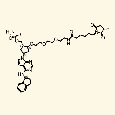 CC1CC(=O)N(CCCCCC(=O)NCCOCCOCCO[C@H]2C[C@H](n3ccc4c(N[C@H]5CCc6ccccc65)ncnc43)C[C@H]2COS(N)(=O)=O)C1=O